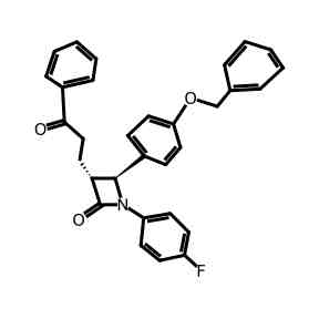 O=C(CC[C@H]1C(=O)N(c2ccc(F)cc2)[C@@H]1c1ccc(OCc2ccccc2)cc1)c1ccccc1